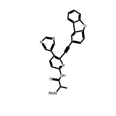 CNC(C)C(=O)Nc1ccc(-c2cncnc2)c(C#Cc2ccc3oc4ccccc4c3c2)n1